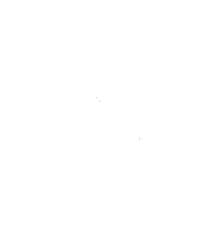 CCC(N)CC1C=CC=CC1C